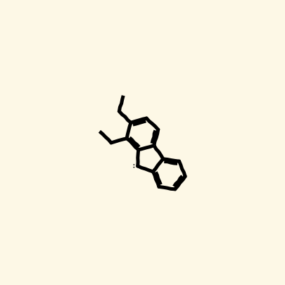 CCc1ccc2c(c1CC)[C]c1ccccc1-2